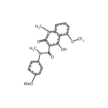 COc1ccc(N(C)C(=O)c2c(O)c3c(OC(F)(F)F)cccc3n(C)c2=O)cc1